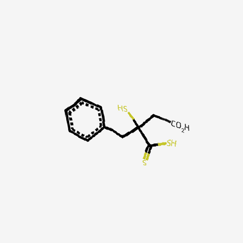 O=C(O)CC(S)(Cc1ccccc1)C(=S)S